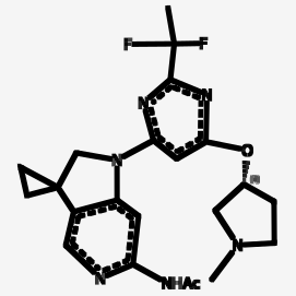 CC(=O)Nc1cc2c(cn1)C1(CC1)CN2c1cc(O[C@@H]2CCN(C)C2)nc(C(C)(F)F)n1